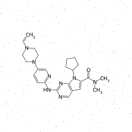 C=CN1CCN(c2ccc(Nc3ncc4cc(C(=O)N(C)C)n(C5CCCC5)c4n3)nc2)CC1